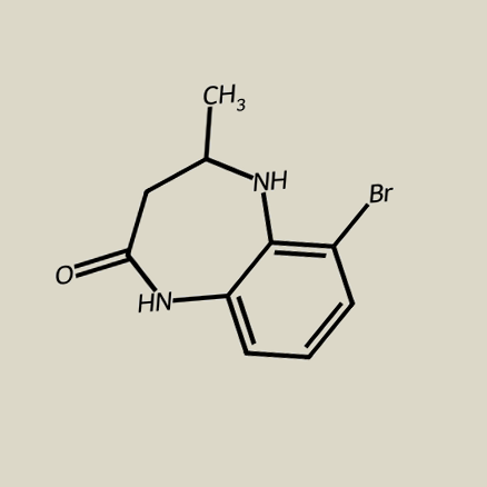 CC1CC(=O)Nc2cccc(Br)c2N1